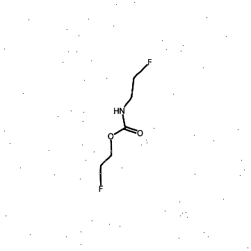 O=C(NCCF)OCCF